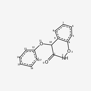 O=C1NOc2ccccc2C1Oc1ccccn1